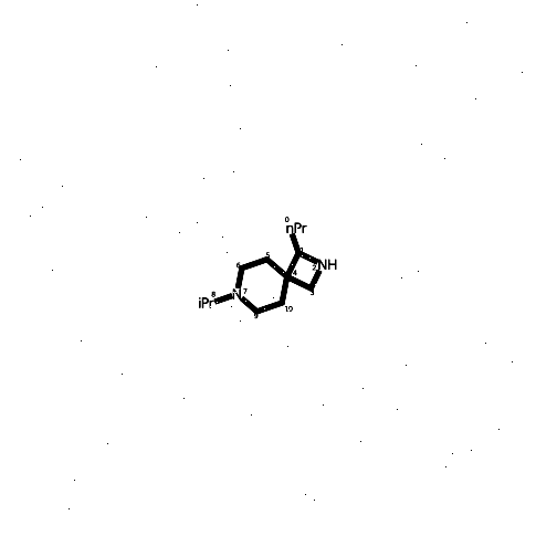 CCCC1NCC12CCN(C(C)C)CC2